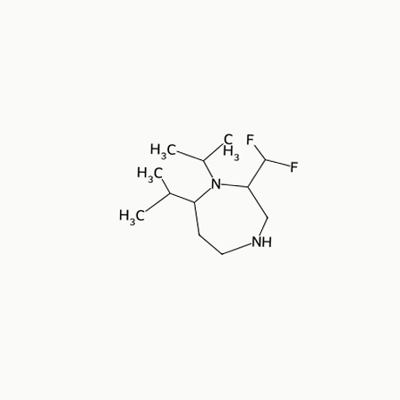 CC(C)C1CCNCC(C(F)F)N1C(C)C